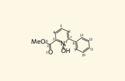 COC(=O)c1cccc(-c2ccccc2)[n+]1O